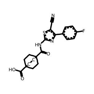 N#Cc1sc(NC(=O)C23CCC(C(=O)O)(CC2)CC3)nc1-c1ccc(F)cc1